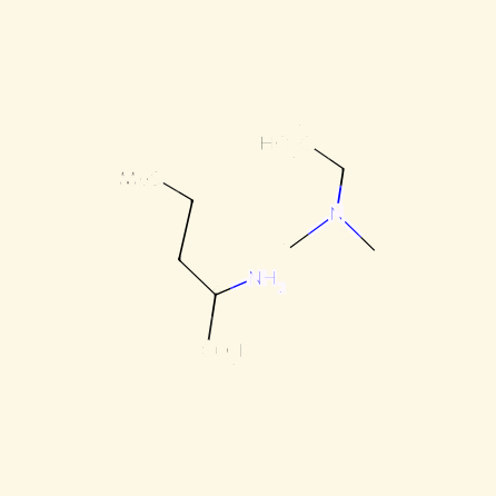 CN(C)CC(=O)O.CSCCC(N)C(=O)O